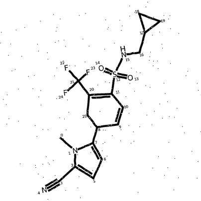 Cn1c(C#N)ccc1C1C=CC(S(=O)(=O)NCC2CC2)=C(C(F)(F)F)C1